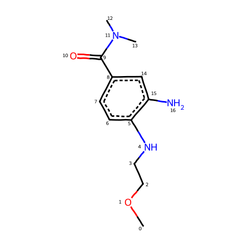 COCCNc1ccc(C(=O)N(C)C)cc1N